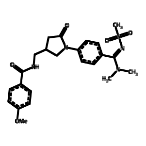 COc1ccc(C(=O)NCC2CC(=O)N(c3ccc(/C(=N\S(C)(=O)=O)N(C)C)cc3)C2)cc1